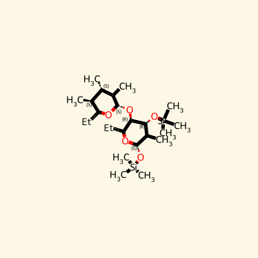 CCC1O[C@@H](O[C@@H]2C(CC)O[C@@H](O[Si](C)(C)C)C(C)[C@H]2O[Si](C)(C)C)C(C)[C@@H](C)[C@@H]1C